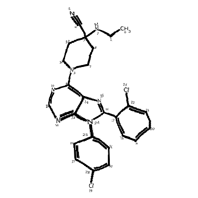 CCNC1(C#N)CCN(c2ncnc3c2nc(-c2ccccc2Cl)n3-c2ccc(Cl)cc2)CC1